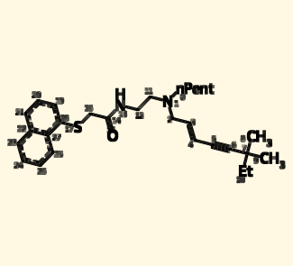 CCCCCN(CC=CC#CC(C)(C)CC)CCNC(=O)CSc1cccc2ccccc12